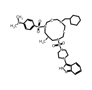 C[C@H]1CN(S(=O)(=O)c2ccc(N(C)C)cc2)CCCN(CC2CCCCC2)CCCN(S(=O)(=O)N2CCN(c3[nH]nc4ccccc34)CC2)C1